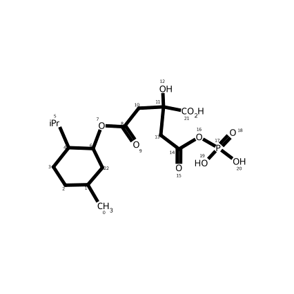 CC1CCC(C(C)C)C(OC(=O)CC(O)(CC(=O)OP(=O)(O)O)C(=O)O)C1